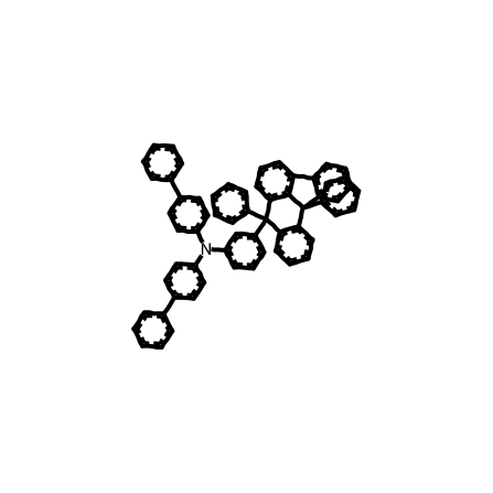 c1ccc(-c2ccc(N(c3ccc(-c4ccccc4)cc3)c3cccc(C4(c5ccccc5)c5ccccc5C5(c6ccccc6)c6ccccc6-c6cccc4c65)c3)cc2)cc1